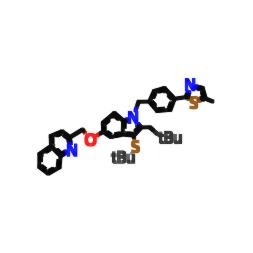 Cc1cnc(-c2ccc(Cn3c(CC(C)(C)C)c(SC(C)(C)C)c4cc(OCc5ccc6ccccc6n5)ccc43)cc2)s1